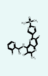 CC[C@H](Nc1c(Cl)c(C)nc2cc(F)c(-c3cnc(P(C)(C)=O)nc3)nc12)c1ncccc1F